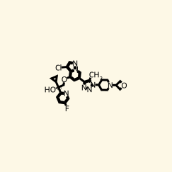 Cc1c(-c2cc(OC[C@](O)(c3ccc(F)cn3)C3CC3)c3c(Cl)cnn3c2)nnn1C1CCN(C2COC2)CC1